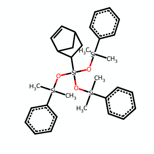 C[Si](C)(O[Si](O[Si](C)(C)c1ccccc1)(O[Si](C)(C)c1ccccc1)C1CC2C=CC1C2)c1ccccc1